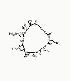 NCC[C@@H]1NC(=O)CCCNC(=O)[C@H](N)NC(=O)[C@H](CCN)NC(=O)[C@H](CCN)NC(O)[C@H](N)NC(=O)[C@@H](N)NC1=O